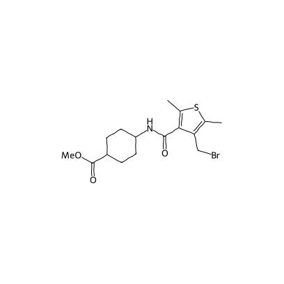 COC(=O)C1CCC(NC(=O)c2c(C)sc(C)c2CBr)CC1